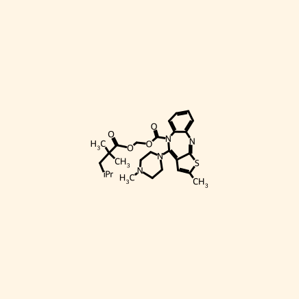 Cc1cc2c(s1)=Nc1ccccc1N(C(=O)OCOC(=O)C(C)(C)CC(C)C)C=2N1CCN(C)CC1